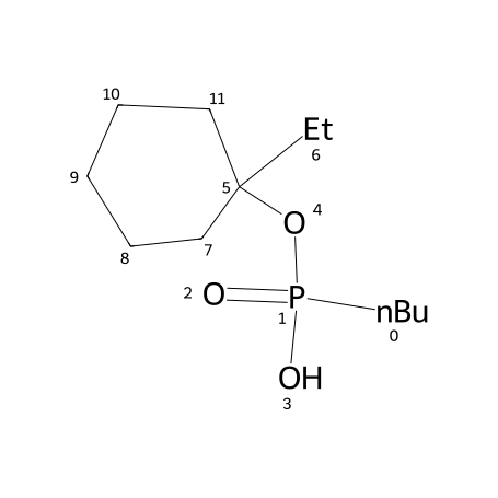 CCCCP(=O)(O)OC1(CC)CCCCC1